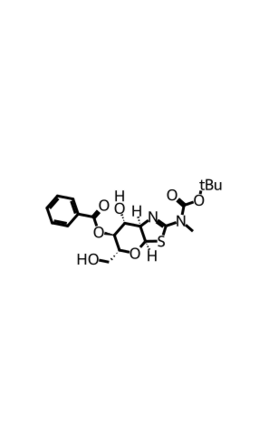 CN(C(=O)OC(C)(C)C)C1=N[C@@H]2[C@@H](O)[C@H](OC(=O)c3ccccc3)[C@@H](CO)O[C@@H]2S1